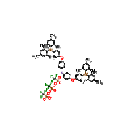 Cc1cc(C)c([S+](c2ccc(Oc3ccc([I+]c4ccc(Oc5ccc([S+](c6c(C)cc(C)cc6C)c6c(C)cc(C)cc6C)cc5)cc4)cc3)cc2)c2c(C)cc(C)cc2C)c(C)c1.O=S(=O)([O-])C(F)(F)F.O=S(=O)([O-])C(F)(F)F.O=S(=O)([O-])C(F)(F)F